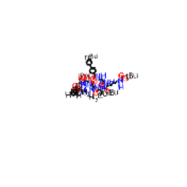 CCCCc1ccc(-c2ccc(C(=O)NCCC(=O)N[C@@H](CCCCNC(=O)OC(C)(C)C)C(=O)N[C@H](C(=O)N[C@@H](N)C(=O)N[C@@H](CCC(C)C)C(=O)N[C@@H](CO)B3OC4C[C@@H]5C[C@@H](C5(C)C)[C@]4(C)O3)C(C)OCC(C)C)cc2)cc1